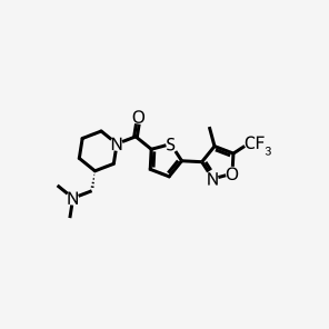 Cc1c(-c2ccc(C(=O)N3CCC[C@@H](CN(C)C)C3)s2)noc1C(F)(F)F